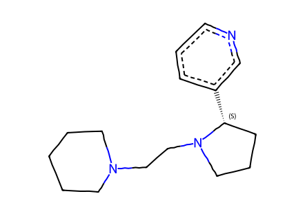 c1cncc([C@@H]2CCCN2CCN2CCCCC2)c1